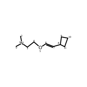 CN(C)CCO/C=C/C1CCC1